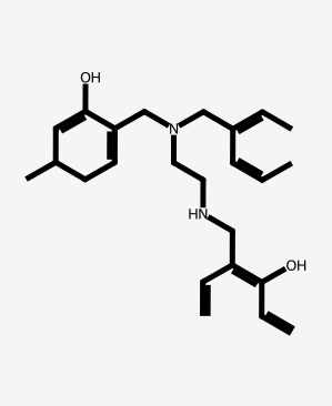 C=C/C(O)=C(\C=C)CNCCN(CC1=CCC(C)C=C1O)CC(/C=C\C)=C/C